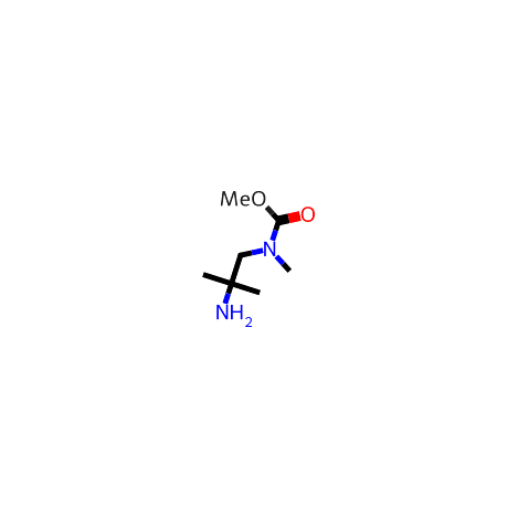 COC(=O)N(C)CC(C)(C)N